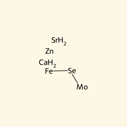 [CaH2].[Fe][Se][Mo].[SrH2].[Zn]